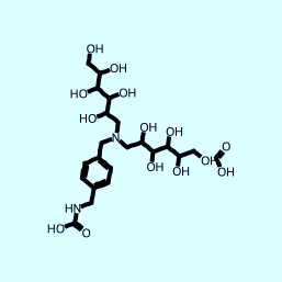 O=C(O)NCc1ccc(CN(CC(O)C(O)C(O)C(O)CO)CC(O)C(O)C(O)C(O)CO)cc1.O=CO